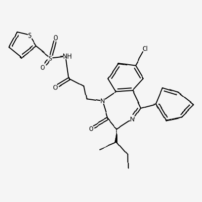 CCC(C)[C@@H]1N=C(c2ccccc2)c2cc(Cl)ccc2N(CCC(=O)NS(=O)(=O)c2cccs2)C1=O